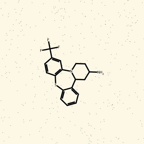 NC1CCN2c3cc(C(F)(F)F)ccc3Sc3ccccc3C2C1